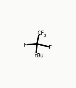 CC(C)(C)C(F)(F)C(F)(F)F